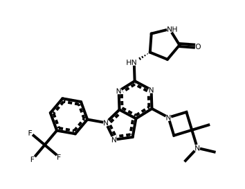 CN(C)C1(C)CN(c2nc(N[C@@H]3CNC(=O)C3)nc3c2cnn3-c2cccc(C(F)(F)F)c2)C1